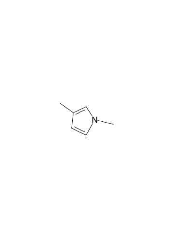 Cc1c[c]n(C)c1